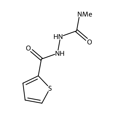 CNC(=O)NNC(=O)c1cccs1